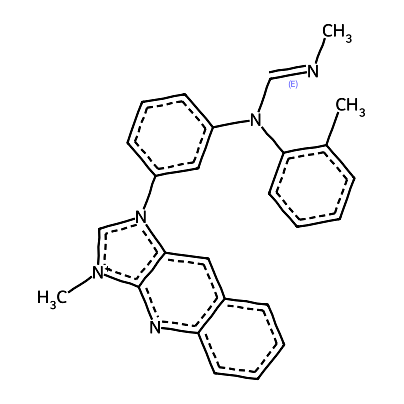 C/N=C/N(c1cccc(-n2c[n+](C)c3nc4ccccc4cc32)c1)c1ccccc1C